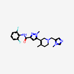 CC1=C(c2cc(C(=O)Nc3c(F)cccc3F)nn2C)CN(Cc2cncn2C)CC1